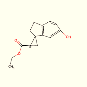 CCOC(=O)[C@@H]1CC12CCc1ccc(O)cc12